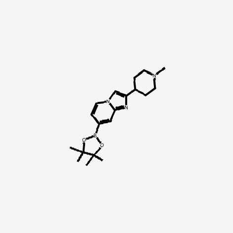 CN1CCC(c2cn3ccc(B4OC(C)(C)C(C)(C)O4)cc3n2)CC1